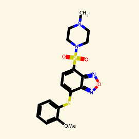 COc1ccccc1Sc1ccc(S(=O)(=O)N2CCN(C)CC2)c2nonc12